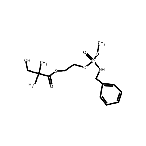 COP(=O)(NCc1ccccc1)OCCSC(=O)C(C)(C)CO